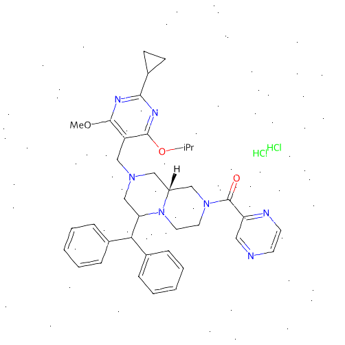 COc1nc(C2CC2)nc(OC(C)C)c1CN1CC(C(c2ccccc2)c2ccccc2)N2CCN(C(=O)c3cnccn3)C[C@H]2C1.Cl.Cl